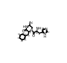 CC(=O)C1CN(C(=O)[C@@H](N)Cc2cnc[nH]2)C(Cc2ccccc2)C(=O)N1